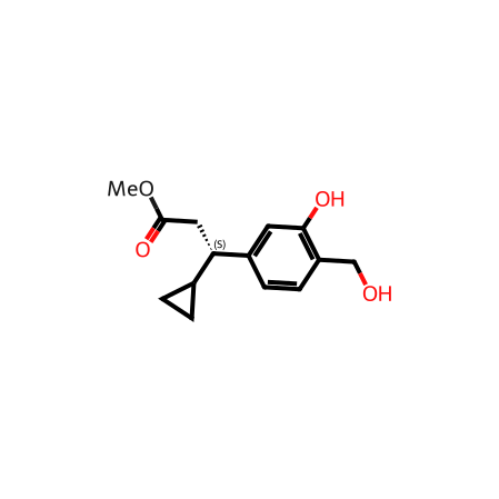 COC(=O)C[C@H](c1ccc(CO)c(O)c1)C1CC1